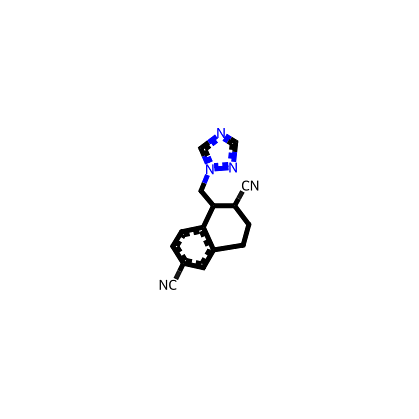 N#Cc1ccc2c(c1)CCC(C#N)C2Cn1cncn1